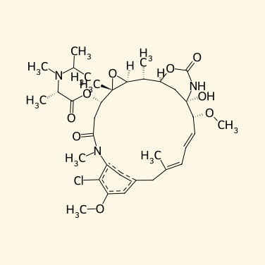 COc1cc2cc(c1Cl)N(C)C(=O)C[C@H](OC(=O)[C@H](C)N(C)C(C)C)[C@]1(C)O[C@H]1[C@H](C)[C@@H]1C[C@@](O)(NC(=O)O1)[C@H](OC)/C=C/C=C(\C)C2